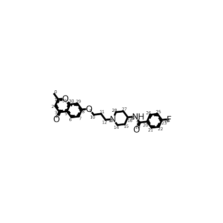 Cc1cc(=O)c2ccc(OCCCN3CCC(NC(=O)c4ccc(F)cc4)CC3)cc2o1